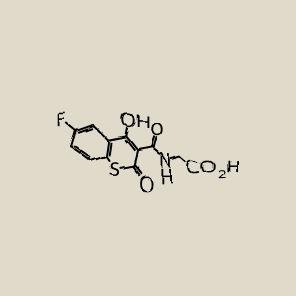 O=C(O)CNC(=O)c1c(O)c2cc(F)ccc2sc1=O